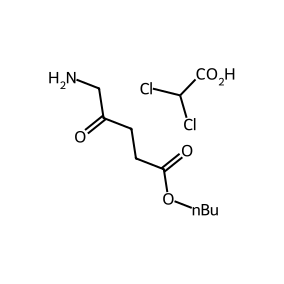 CCCCOC(=O)CCC(=O)CN.O=C(O)C(Cl)Cl